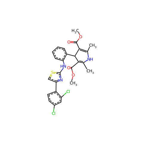 COC(=O)C1=C(C)NC(C)=C(C(=O)OC)C1c1ccccc1Nc1nc(-c2ccc(Cl)cc2Cl)cs1